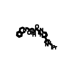 CC(C)Cn1cc(-c2ccc3nc(C(=O)NC[C@@H](O)CN4CCc5ccccc5C4)cn3c2)cn1